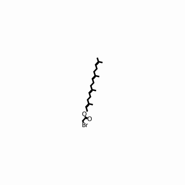 CC(C)=CCC/C(C)=C/CC/C(C)=C/CC/C(C)=C/COC(=O)CBr